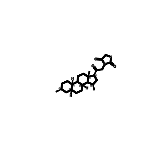 C[C@H]1CC[C@@H]2C3CC[C@@]4(C)C([C@@H]3CC[C@@H]2C1)[C@H](C)C[C@@H]4C(=O)CN1C(=O)CSC1=O